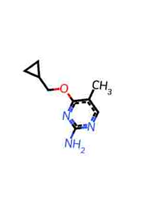 Cc1cnc(N)nc1OCC1CC1